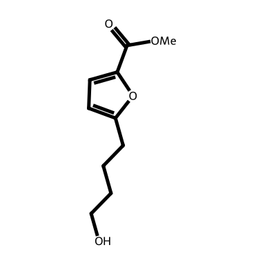 COC(=O)c1ccc(CCCCO)o1